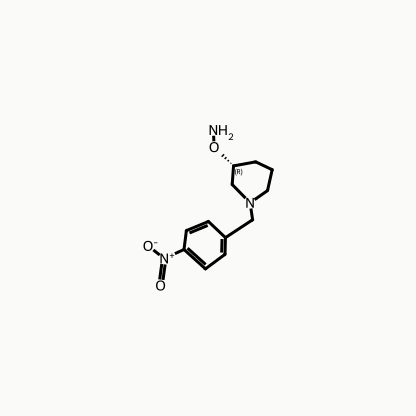 NO[C@@H]1CCCN(Cc2ccc([N+](=O)[O-])cc2)C1